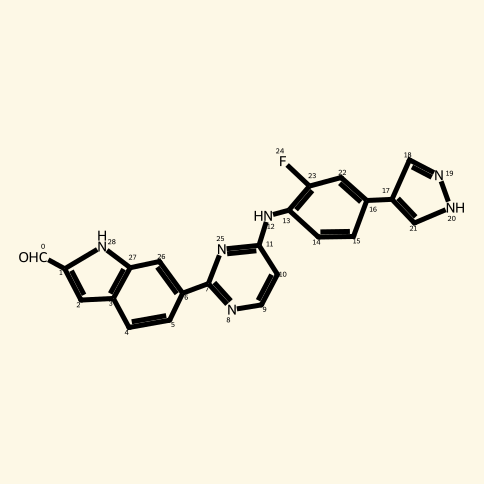 O=Cc1cc2ccc(-c3nccc(Nc4ccc(-c5cn[nH]c5)cc4F)n3)cc2[nH]1